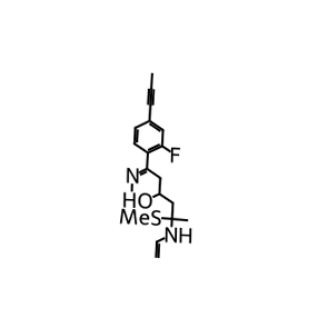 C=CNC(C)(CC(O)C/C(=N\C)c1ccc(C#CC)cc1F)SC